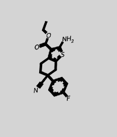 CCOC(=O)c1c(N)sc2c1CCC(C#N)(c1ccc(F)cc1)C2